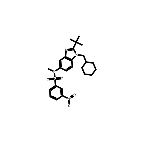 CN(c1ccc2c(c1)nc(C(C)(C)C)n2CC1CCCCC1)S(=O)(=O)c1cccc([N+](=O)[O-])c1